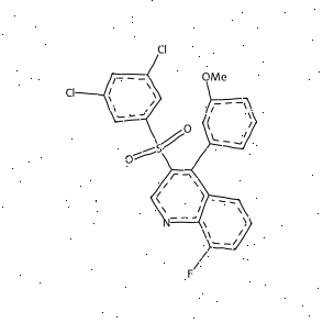 COc1cccc(-c2c(S(=O)(=O)c3cc(Cl)cc(Cl)c3)cnc3c(F)cccc23)c1